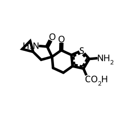 NC(=O)C1(CC2CC2)CCc2c(sc(N)c2C(=O)O)C1=O